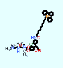 CCN(CC(=O)NCCN(C)C)C(=O)[C@@H](C)Oc1ccc2c(-c3ccc(NC(=O)CCCCCCCCCCC[P+](c4ccccc4)(c4ccccc4)c4ccccc4)cc3Cl)cc(=O)oc2c1